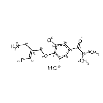 CN(C)C(=O)c1ccc(OCC(=CF)CN)c(Cl)c1.Cl